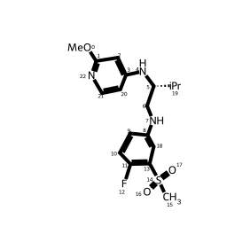 COc1cc(N[C@@H](CNc2ccc(F)c(S(C)(=O)=O)c2)C(C)C)ccn1